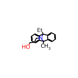 CCC12c3ccccc3C(C)(c3ccccc31)N2CCCO